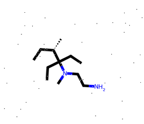 CC[C@H](C)C(CC)(CC)N(C)CCN